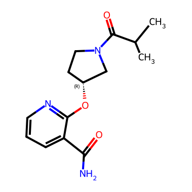 CC(C)C(=O)N1CC[C@@H](Oc2ncccc2C(N)=O)C1